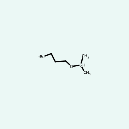 C[SiH](C)OCCCC(C)(C)C